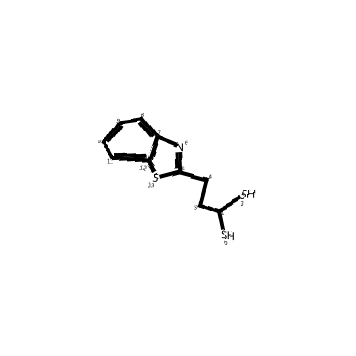 SC(S)CCc1nc2ccccc2s1